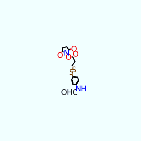 O=CNc1ccc(SSCCC(=O)ON2C(=O)CCC2=O)cc1